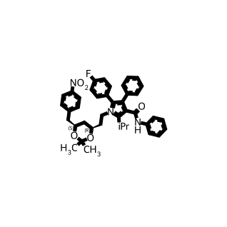 CC(C)c1c(C(=O)Nc2ccccc2)c(-c2ccccc2)c(-c2ccc(F)cc2)n1CC[C@@H]1C[C@H](Cc2ccc([N+](=O)[O-])cc2)OC(C)(C)O1